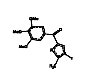 COc1cc(C(=O)c2cn(I)c(C)n2)cc(OC)c1OC